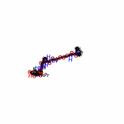 CCCC1O[C@@H]2CC3[C@@H]4C[C@H](F)C5=CC(=O)C=C[C@]5(C)[C@@]4(F)[C@@H](O)C[C@]3(C)[C@]2(C(=O)COCNC(=O)CNC(=O)[C@H](Cc2ccccc2)NC(=O)CNC(=O)CNC(=O)CCOCCOCCOCCOCCNC(=O)CCC(=O)N2Cc3ccccc3/C=C(/C)c3ccccc32)O1